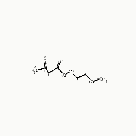 COCCOOC(=O)CC(C)=O